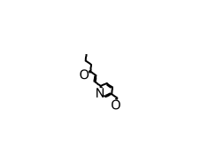 CCCC(=O)/C=C/c1ccc(C=O)cn1